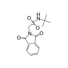 CC(C)(C)NS(=O)(=O)CN1C(=O)c2ccccc2C1=O